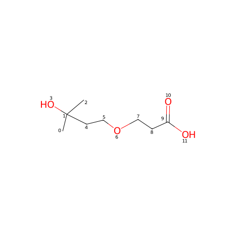 CC(C)(O)CCOCCC(=O)O